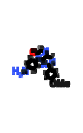 COc1ccc(-c2ncc3ncc(=O)n(-c4ccc(N)cc4)c3n2)cc1